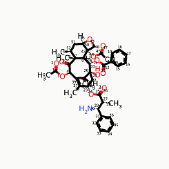 CC(=O)O[C@H]1C(=O)[C@@]2(C)[C@H]([C@H](OC(=O)c3ccccc3)[C@]3(O)C[C@H](OC(=O)[C@H](C)[C@@H](N)c4ccccc4)C(C)=C1C3(C)C)[C@]1(OC(C)=O)CO[C@@H]1C[C@@H]2C